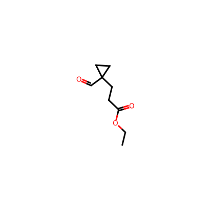 CCOC(=O)CCC1(C=O)CC1